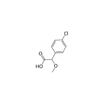 COC(C(=O)O)c1ccc(Cl)cc1